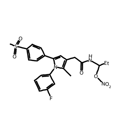 CCC(NC(=O)Cc1cc(-c2ccc(S(C)(=O)=O)cc2)n(-c2cccc(F)c2)c1C)O[N+](=O)[O-]